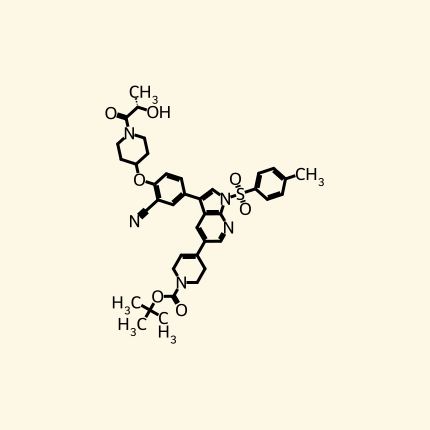 Cc1ccc(S(=O)(=O)n2cc(-c3ccc(OC4CCN(C(=O)[C@H](C)O)CC4)c(C#N)c3)c3cc(C4=CCN(C(=O)OC(C)(C)C)CC4)cnc32)cc1